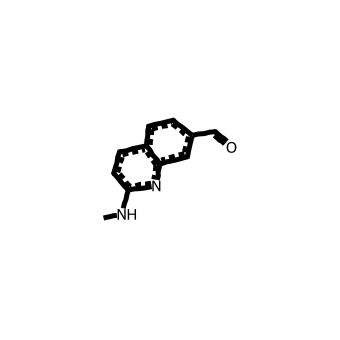 CNc1ccc2ccc(C=O)cc2n1